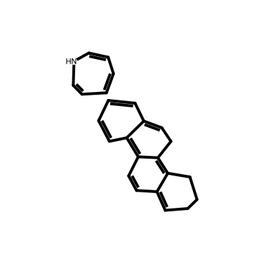 C1=CC=CNC=C1.C1=c2ccc3c(c2CCC1)CC=c1ccccc1=3